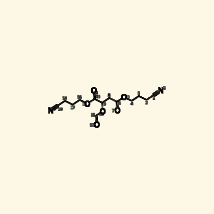 N#CCCCOC(=O)CC(OC=O)C(=O)OCCCC#N